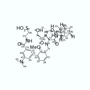 COc1c(CN2O[C@@H](CO)[C@@H]([C@H](C)O)C2C(=O)N[C@H]2C[C@H]3C[C@@H]([C@@H]2C)C3(C)C)cccc1-c1cc(C(=O)NCCS(=O)(=O)O)cc(N(C)C)c1